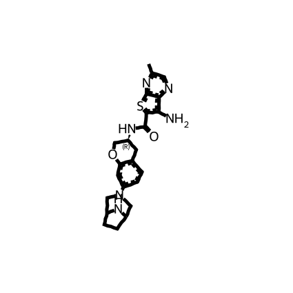 Cc1cnc2c(N)c(C(=O)N[C@H]3COc4cc(N5CC6CCC(C5)N6)ccc4C3)sc2n1